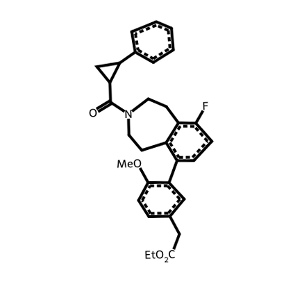 CCOC(=O)Cc1ccc(OC)c(-c2ccc(F)c3c2CCN(C(=O)C2CC2c2ccccc2)CC3)c1